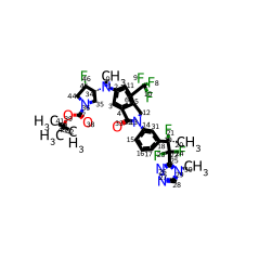 CN(c1cc2c(c(C(F)(F)F)c1)CN(c1cccc([C@@](C)(F)C(F)(F)c3nncn3C)c1)C2=O)[C@@H]1CN(C(=O)OC(C)(C)C)C[C@@H]1F